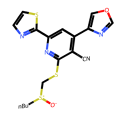 CCCC[S+]([O-])CSc1nc(-c2nccs2)cc(-c2cocn2)c1C#N